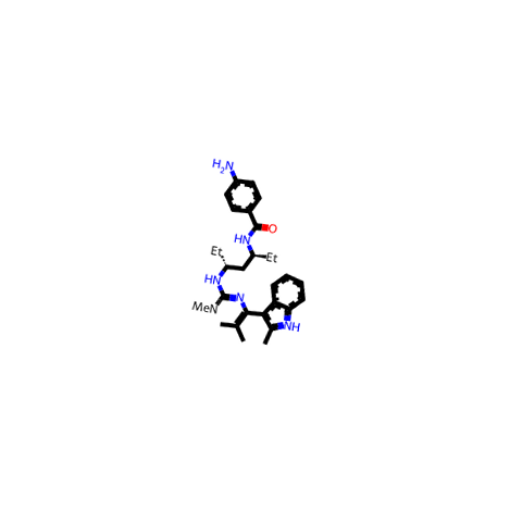 CC[C@@H](C[C@@H](CC)N/C(=N/C(=C(C)C)c1c(C)[nH]c2ccccc12)NC)NC(=O)c1ccc(N)cc1